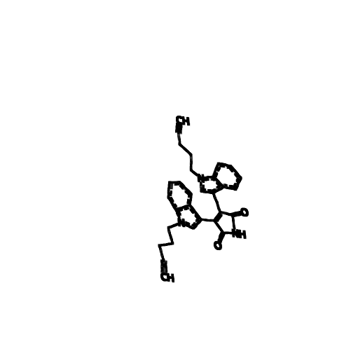 C#CCCCn1cc(C2=C(c3cn(CCCC#C)c4ccccc34)C(=O)NC2=O)c2ccccc21